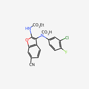 CCOC(=O)Nc1oc2cc(C#N)ccc2c1N(C(=O)O)c1ccc(F)c(Cl)c1